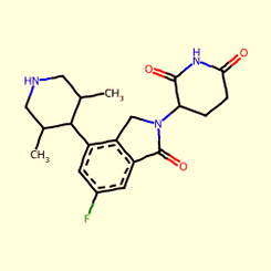 CC1CNCC(C)C1c1cc(F)cc2c1CN(C1CCC(=O)NC1=O)C2=O